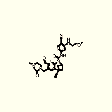 C#CC12CC(C1)N(C(=O)Nc1cc(NCCOC)c(C#N)cn1)c1nc(C=O)c(CN3CCN(C)CC3=O)cc12